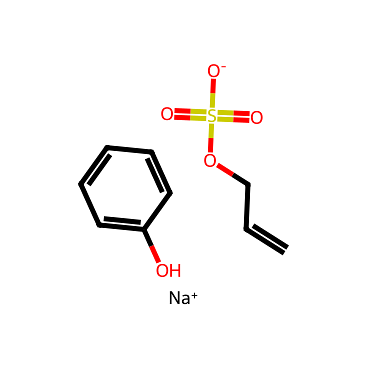 C=CCOS(=O)(=O)[O-].Oc1ccccc1.[Na+]